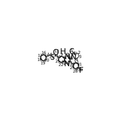 C[C@H]1CCCN1c1nc2cc(C(=O)SCc3ccccc3)ccc2nc1-c1ccc(F)cc1